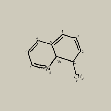 CC1C=CC=C2C=CC=NC21